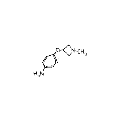 CN1CC(Oc2ccc(N)cn2)C1